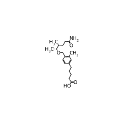 Cc1cc(CCCCC(=O)O)ccc1CO[C@H](C)[C@@H](C)CCC(N)=O